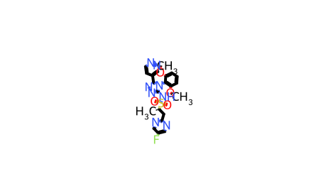 COc1cccc(OC)c1-n1c(NS(=O)(=O)[C@@H](C)Cc2ncc(F)cn2)nnc1-c1ccnnc1